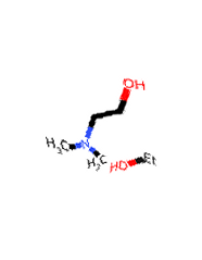 CCO.CN(C)CCO